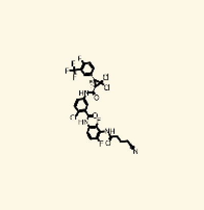 N#CCCCC(=O)Nc1c(F)ccc(NC(=O)c2cc(NC(=O)[C@H]3[C@H](c4ccc(F)c(C(F)(F)F)c4)C3(Cl)Cl)ccc2Cl)c1F